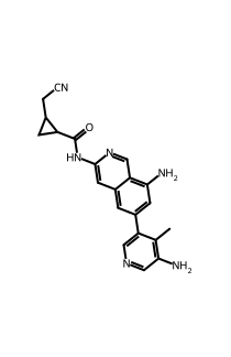 Cc1c(N)cncc1-c1cc(N)c2cnc(NC(=O)C3CC3CC#N)cc2c1